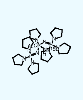 CC(=O)OP(N=P(N1CCCC1)(N1CCCC1)N1CCCC1)(N=P(N1CCCC1)(N1CCCC1)N1CCCC1)(NC(C)(C)C)N1CCCC1